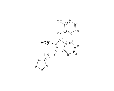 O=C(O)c1c(CNC2CCCC2)c2ccccc2n1Cc1ccccc1Cl